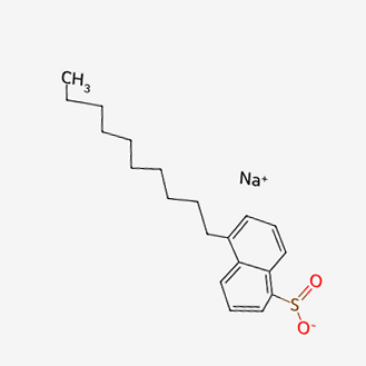 CCCCCCCCCCc1cccc2c(S(=O)[O-])cccc12.[Na+]